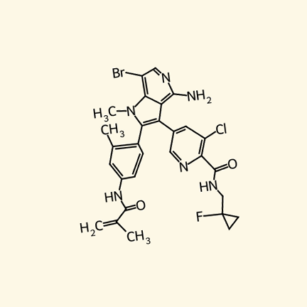 C=C(C)C(=O)Nc1ccc(-c2c(-c3cnc(C(=O)NCC4(F)CC4)c(Cl)c3)c3c(N)ncc(Br)c3n2C)c(C)c1